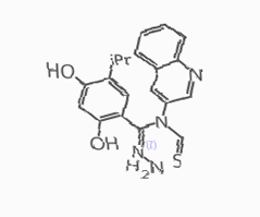 CC(C)c1cc(/C(=N/N)N(C=S)c2cnc3ccccc3c2)c(O)cc1O